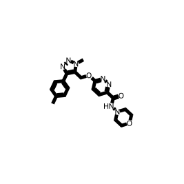 Cc1ccc(-c2nnn(C)c2COc2ccc(C(=O)NN3CCOCC3)nn2)cc1